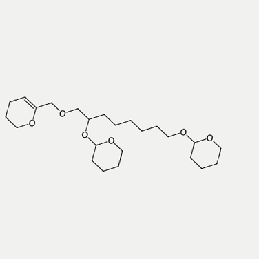 C1=C(COCC(CCCCCCOC2CCCCO2)OC2CCCCO2)OCCC1